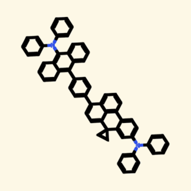 c1ccc(N(c2ccccc2)c2ccc3c(c2)C2(CC2)c2ccc(-c4ccc(-c5c6ccccc6c(N(c6ccccc6)c6ccccc6)c6ccccc56)cc4)c4cccc-3c24)cc1